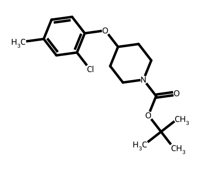 Cc1ccc(OC2CCN(C(=O)OC(C)(C)C)CC2)c(Cl)c1